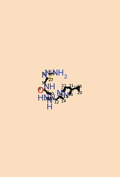 Nc1nnc(CNC(=O)C2=CN(Cc3cn4cc(C5CC5)ccc4n3)NN2)s1